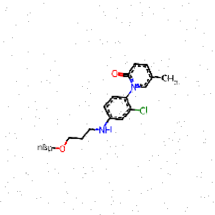 CCCCOCCCNc1ccc(-n2cc(C)ccc2=O)c(Cl)c1